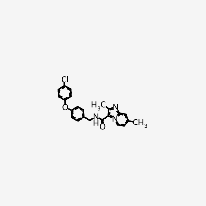 Cc1ccn2c(C(=O)NCc3ccc(Oc4ccc(Cl)cc4)cc3)c(C)nc2c1